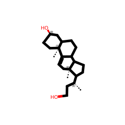 C[C@H](CCO)C1CCC2C3CCC4C[C@H](O)CC[C@]4(C)C3=CC[C@@]21C